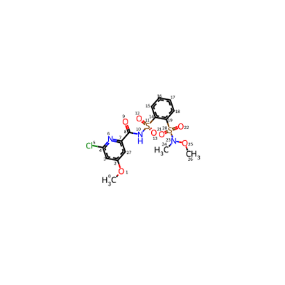 COc1cc(Cl)nc(C(=O)NS(=O)(=O)c2ccccc2S(=O)(=O)N(C)OC)c1